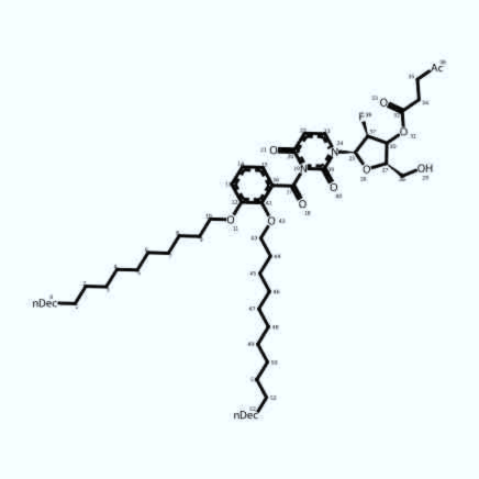 CCCCCCCCCCCCCCCCCCCCOc1cccc(C(=O)n2c(=O)ccn([C@@H]3O[C@H](CO)C(OC(=O)CCC(C)=O)[C@@H]3F)c2=O)c1OCCCCCCCCCCCCCCCCCCCC